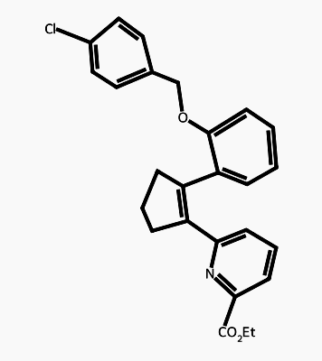 CCOC(=O)c1cccc(C2=C(c3ccccc3OCc3ccc(Cl)cc3)CCC2)n1